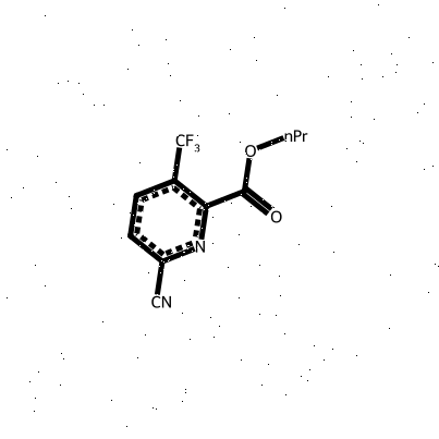 CCCOC(=O)c1nc(C#N)ccc1C(F)(F)F